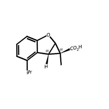 CC(C)c1cccc2c1[C@@H]1C(O2)[C@@]1(C)C(=O)O